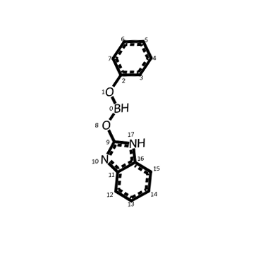 B(Oc1ccccc1)Oc1nc2ccccc2[nH]1